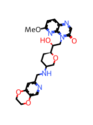 COc1ccc2ncc(=O)n(C[C@H](O)[C@@H]3CCC(NCc4cc5c(cn4)OCCO5)CO3)c2n1